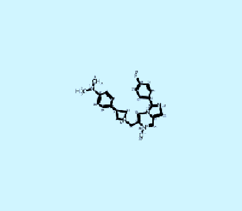 CN(C)c1ccc(C2CN(Cc3cn4c(-c5ccc(F)cc5)ncc4c[n+]3[O-])C2)cc1